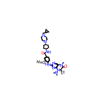 CCC1C(=O)N(C)c2cnc(Nc3ccc(C(=O)N[C@H]4CC[C@H](N5CCN(CC6CC6)CC5)CC4)cc3OC)nc2N1N(C)C